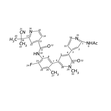 CC(=O)Nc1cc(-c2cc(-c3cc(NC(=O)c4ccnc(C(C)(C)C#N)c4)c(F)cc3C)cn(C)c2=O)ccn1